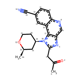 CC(=O)Cc1nc2cnc3ccc(C#N)cc3c2n1[C@@H]1CCO[C@H](C)C1